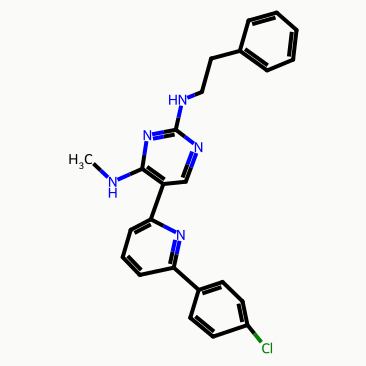 CNc1nc(NCCc2ccccc2)ncc1-c1cccc(-c2ccc(Cl)cc2)n1